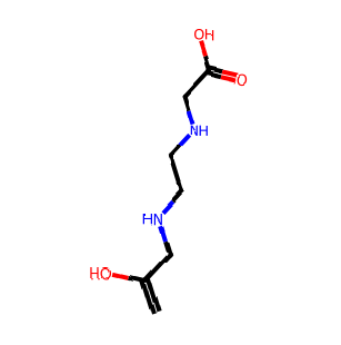 C=C(O)CNCCNCC(=O)O